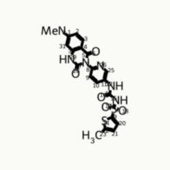 CNc1ccc2c(=O)n(-c3ccc(NC(=O)NS(=O)(=O)c4ccc(C)s4)cn3)c(=O)[nH]c2c1